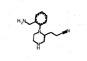 N#CCCC1CNCCN1c1ccccc1CN